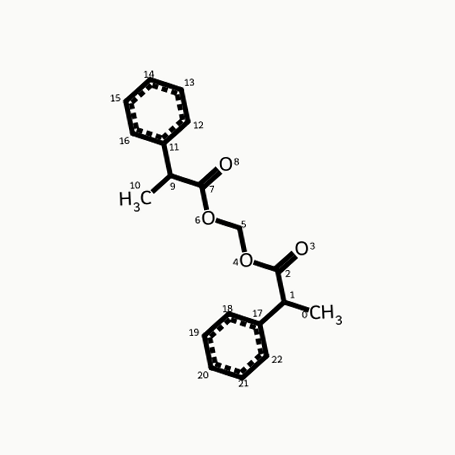 CC(C(=O)OCOC(=O)C(C)c1ccccc1)c1ccccc1